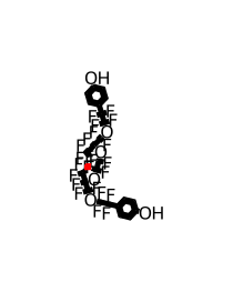 Oc1ccc(C(F)(F)C(F)(F)OC(F)(F)C(F)(OC(F)(F)C(F)(F)OC(F)(C(F)(F)F)C(F)(F)OC(F)(F)C(F)(F)c2ccc(O)cc2)C(F)(F)F)cc1